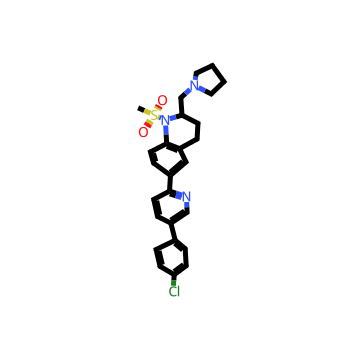 CS(=O)(=O)N1c2ccc(-c3ccc(-c4ccc(Cl)cc4)cn3)cc2CCC1CN1CCCC1